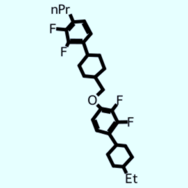 CCCc1ccc(C2CCC(COc3ccc(C4CCC(CC)CC4)c(F)c3F)CC2)c(F)c1F